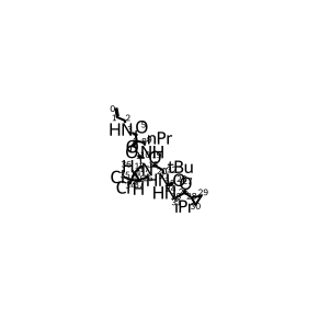 C=CCNC(=O)C(=O)[C@H](CCC)NC(=O)[C@@H]1[C@@H]2[C@H](CN1C(=O)[C@@H](NC(=O)N[C@H](C(=O)C1CC1)C(C)C)C(C)(C)C)C2(Cl)Cl